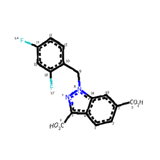 O=C(O)c1ccc2c(C(=O)O)nn(Cc3ccc(F)cc3F)c2c1